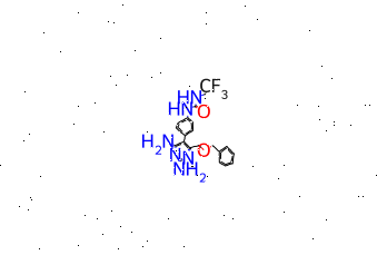 Nc1nc(N)c(-c2ccc(NC(=O)NCC(F)(F)F)cc2)c(COCc2ccccc2)n1